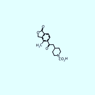 Cc1c(C(=O)CC2CCN(C(=O)O)CC2)ccc2c1COC2=O